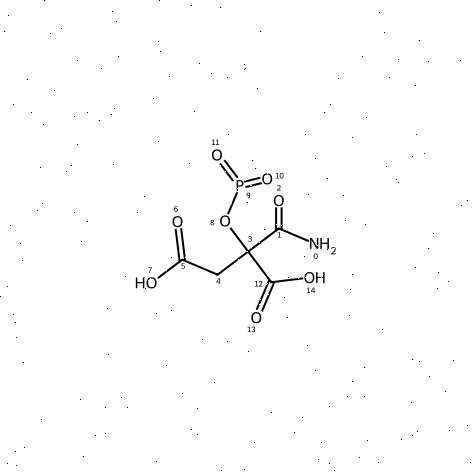 NC(=O)C(CC(=O)O)(OP(=O)=O)C(=O)O